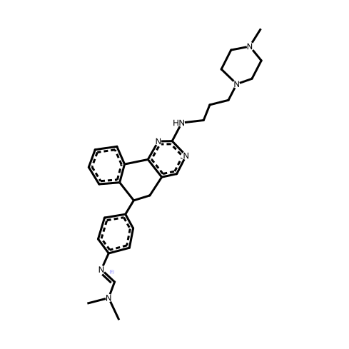 CN(C)/C=N/c1ccc(C2Cc3cnc(NCCCN4CCN(C)CC4)nc3-c3ccccc32)cc1